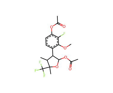 COc1c(C2C(OC(C)=O)OC(C)(C(F)(F)F)C2C)ccc(OC(C)=O)c1F